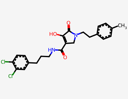 Cc1ccc(CCN2CC(C(=O)NCCCc3ccc(Cl)c(Cl)c3)=C(O)C2=O)cc1